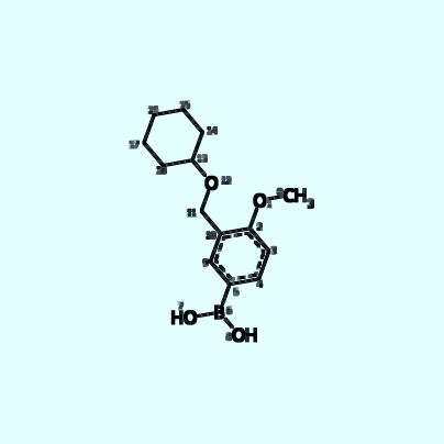 COc1ccc(B(O)O)cc1COC1CCCCC1